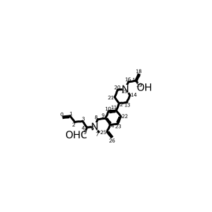 C=CCCC(C=O)N(C)Cc1cc(C2CCN(CC(=C)O)CC2)ccc1C=C